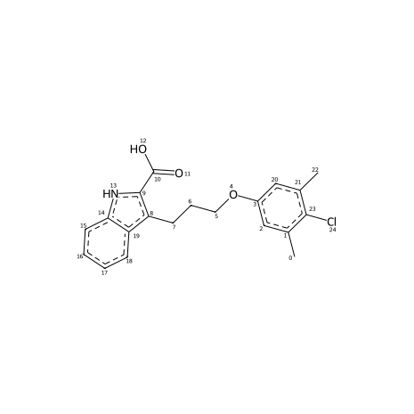 Cc1cc(OCCCc2c(C(=O)O)[nH]c3ccccc23)cc(C)c1Cl